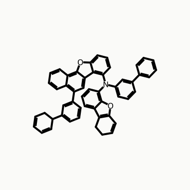 C1=CCC(c2cccc(-c3cc4c(oc5cccc(N(c6cccc(-c7ccccc7)c6)c6cccc7c8c(oc67)C=CCC8)c54)c4ccccc34)c2)C=C1